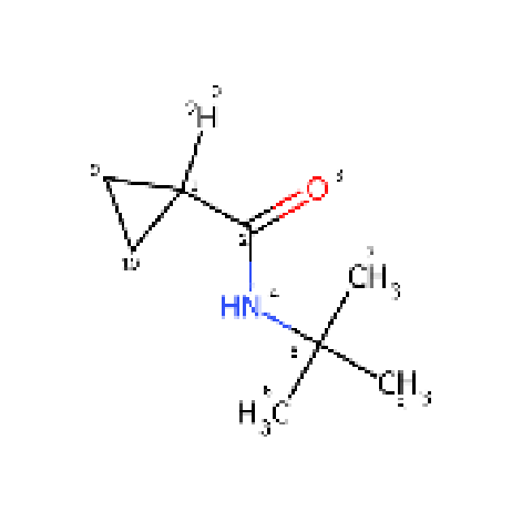 [2H]C1(C(=O)NC(C)(C)C)CC1